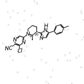 Cc1ccc(-c2cnc([C@@H]3CCCN(c4cnc(C#N)c(Cl)n4)[C@@H]3C)[nH]2)cc1